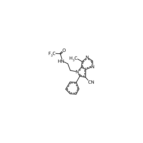 Cc1ncnc2c(C#N)c(-c3ccccc3)n(CCNC(=O)C(F)(F)F)c12